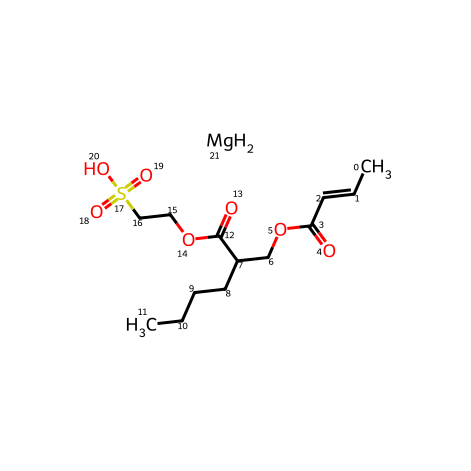 CC=CC(=O)OCC(CCCC)C(=O)OCCS(=O)(=O)O.[MgH2]